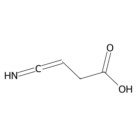 N=C=CCC(=O)O